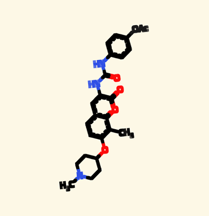 CC(=O)Oc1ccc(NC(=O)Nc2cc3ccc(OC4CCN(C)CC4)c(C)c3oc2=O)cc1